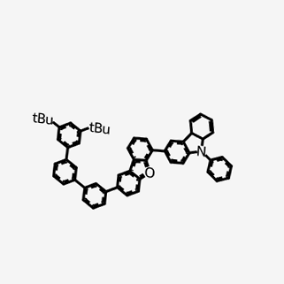 CC(C)(C)c1cc(-c2cccc(-c3cccc(-c4ccc5oc6c(-c7ccc8c(c7)C7C=CC=CC7N8c7ccccc7)cccc6c5c4)c3)c2)cc(C(C)(C)C)c1